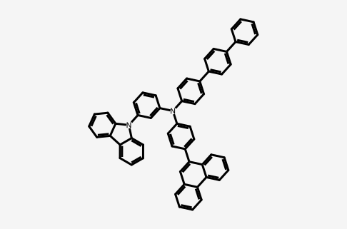 c1ccc(-c2ccc(-c3ccc(N(c4ccc(-c5cc6ccccc6c6ccccc56)cc4)c4cccc(-n5c6ccccc6c6ccccc65)c4)cc3)cc2)cc1